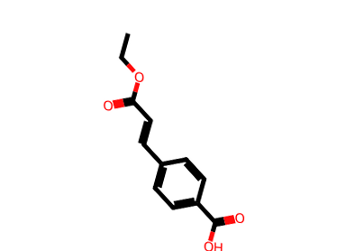 CCOC(=O)/C=C/c1ccc(C(=O)O)cc1